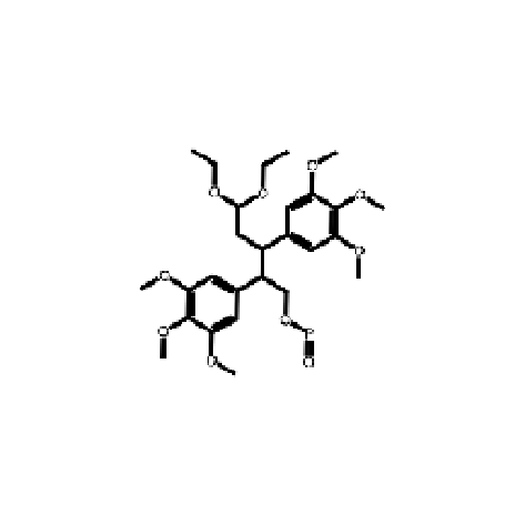 CCOC(CC(c1cc(OC)c(OC)c(OC)c1)C(COP=O)c1cc(OC)c(OC)c(OC)c1)OCC